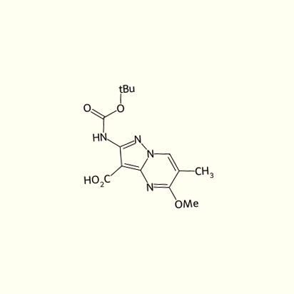 COc1nc2c(C(=O)O)c(NC(=O)OC(C)(C)C)nn2cc1C